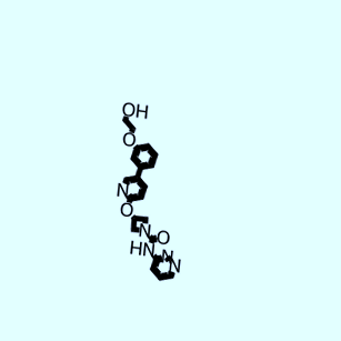 O=C(Nc1cccnn1)N1CC(Oc2ccc(-c3cccc(OCCO)c3)cn2)C1